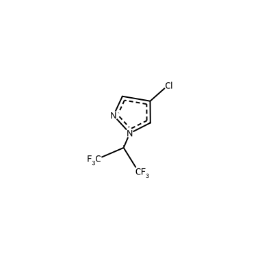 FC(F)(F)[C](n1cc(Cl)cn1)C(F)(F)F